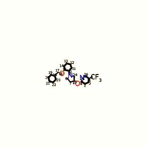 FC(F)(F)c1ccc(OC2CCN(c3ccccc3OCc3ccccc3)C2)nc1